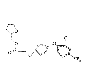 O=C(CCOc1ccc(Oc2ccc(C(F)(F)F)cc2Cl)cc1)OCC1CCCO1